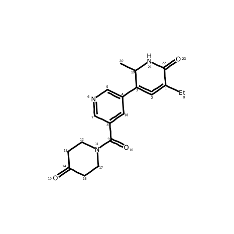 CCC1=C=C(c2cncc(C(=O)N3CCC(=O)CC3)c2)C(C)NC1=O